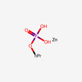 CCCOP(=O)(O)O.[Zn]